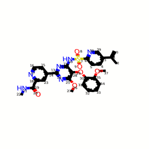 C=C(C)c1ccc(S(=O)(=O)Nc2nc(-c3ccnc(C(=O)NC)c3)nc(OC)c2Oc2ccccc2OC)nc1